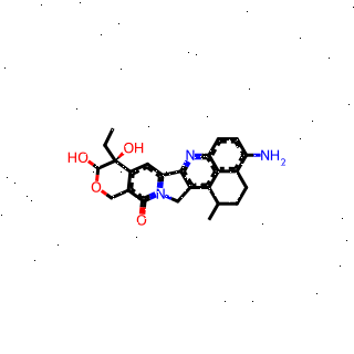 CC[C@]1(O)c2cc3n(c(=O)c2COC1O)Cc1c-3nc2ccc(N)c3c2c1C(C)CC3